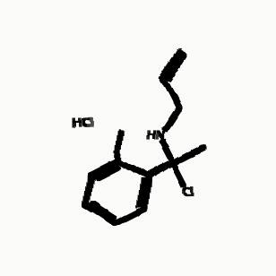 C=CCNC(C)(Cl)c1ccccc1C.Cl